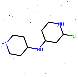 ClC1CC(NC2CCNCC2)CCN1